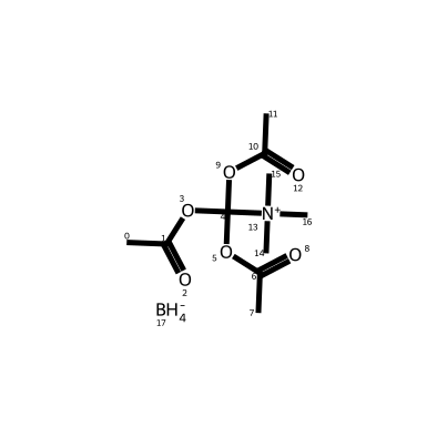 CC(=O)OC(OC(C)=O)(OC(C)=O)[N+](C)(C)C.[BH4-]